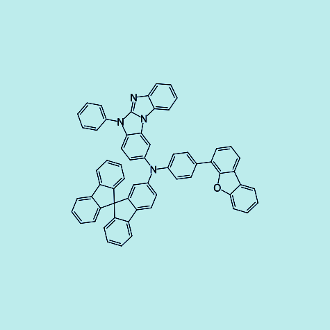 c1ccc(-n2c3ccc(N(c4ccc(-c5cccc6c5oc5ccccc56)cc4)c4ccc5c(c4)C4(c6ccccc6-c6ccccc64)c4ccccc4-5)cc3n3c4ccccc4nc23)cc1